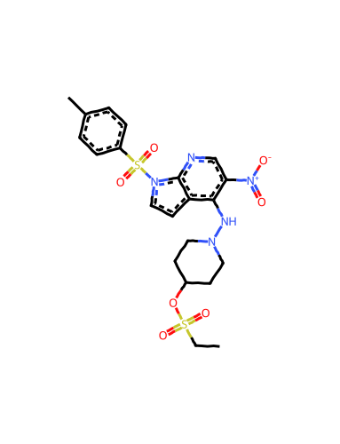 CCS(=O)(=O)OC1CCN(Nc2c([N+](=O)[O-])cnc3c2ccn3S(=O)(=O)c2ccc(C)cc2)CC1